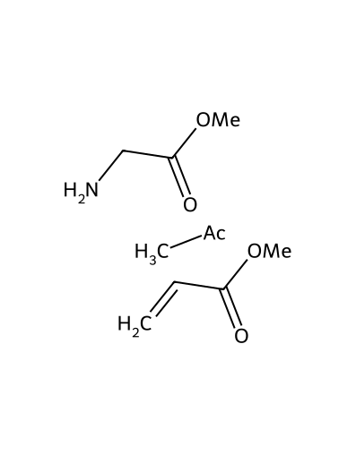 C=CC(=O)OC.CC(C)=O.COC(=O)CN